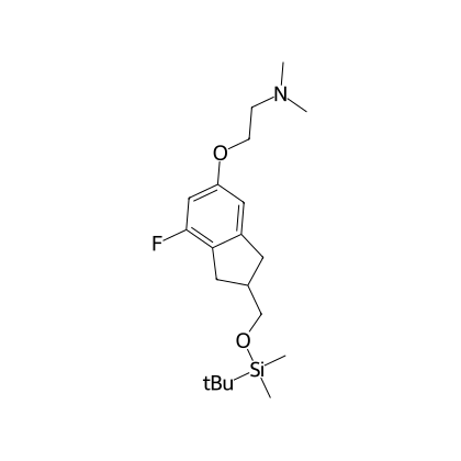 CN(C)CCOc1cc(F)c2c(c1)CC(CO[Si](C)(C)C(C)(C)C)C2